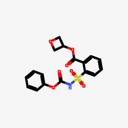 O=C(NS(=O)(=O)c1ccccc1C(=O)OC1COC1)Oc1ccccc1